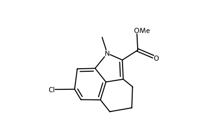 COC(=O)c1c2c3c(cc(Cl)cc3n1C)CCC2